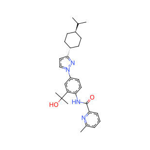 Cc1cccc(C(=O)Nc2ccc(-n3ccc([C@H]4CC[C@H](C(C)C)CC4)n3)cc2C(C)(C)O)n1